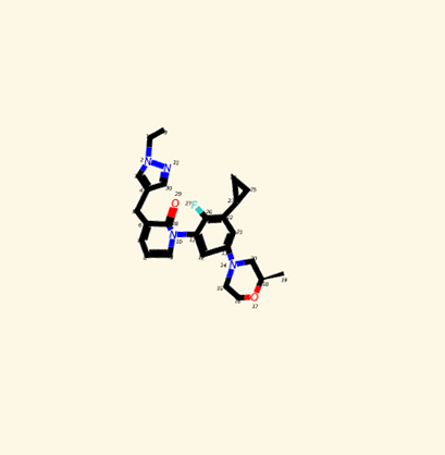 CCn1cc(Cc2cccn(-c3cc(N4CCO[C@H](C)C4)cc(C4CC4)c3F)c2=O)cn1